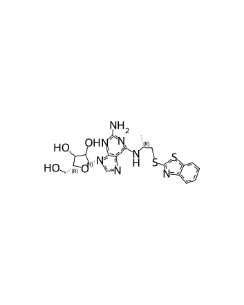 C[C@H](CSc1nc2ccccc2s1)Nc1nc(N)nc2c1ncn2[C@@H]1O[C@H](CO)C(O)C1O